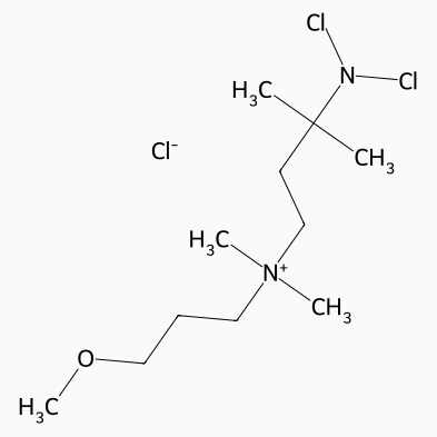 COCCC[N+](C)(C)CCC(C)(C)N(Cl)Cl.[Cl-]